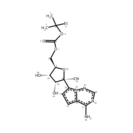 CCC(C)(C)OC(=O)OC[C@H]1O[C@@](C#N)(c2ccc3c(N)ncnn23)[C@H](O)[C@@H]1O